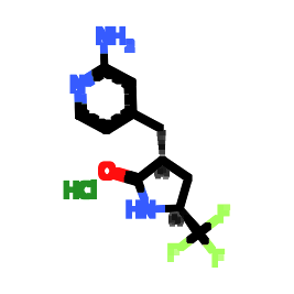 Cl.Nc1cc(C[C@@H]2C[C@@H](C(F)(F)F)NC2=O)ccn1